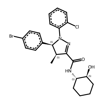 C[C@@H]1C(C(=O)N[C@H]2CCCC[C@@H]2O)=NN(c2ccccc2Cl)[C@@H]1c1ccc(Br)cc1